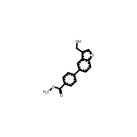 COC(=O)c1ccc(-c2ccc3scc(CO)c3c2)cc1